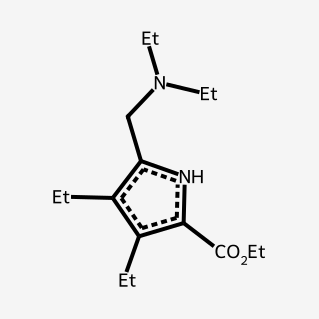 CCOC(=O)c1[nH]c(CN(CC)CC)c(CC)c1CC